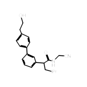 CC(C)CC(C(=O)NCC#N)c1cccc(-c2ccc(CCO)cc2)c1